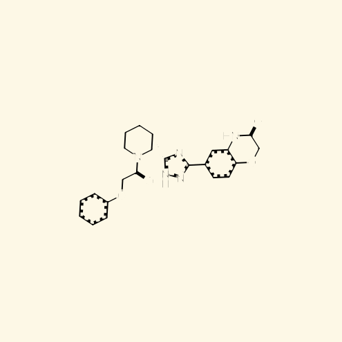 O=C1COc2ccc(-c3n[nH]c([C@H]4CCCCN4C(=O)COc4ccccc4)n3)cc2N1